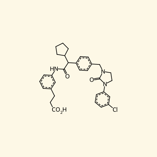 O=C(O)CCc1cccc(NC(=O)C(c2ccc(CN3CCN(c4cccc(Cl)c4)C3=O)cc2)C2CCCC2)c1